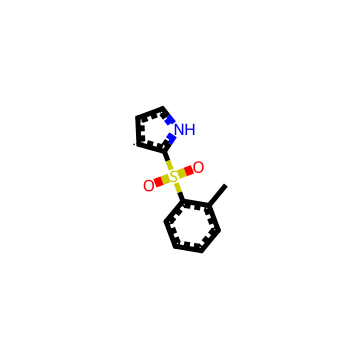 Cc1ccccc1S(=O)(=O)c1[c]cc[nH]1